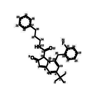 CC(C)(C)C1=NC2=CC(=O)C(C(=O)NCCCc3ccccc3)N2C(Cc2ccccc2F)=C1